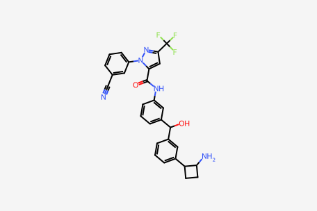 N#Cc1cccc(-n2nc(C(F)(F)F)cc2C(=O)Nc2cccc(C(O)c3cccc(C4CCC4N)c3)c2)c1